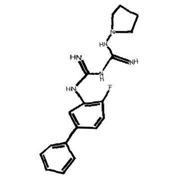 N=C(NC(=N)NN1CCCC1)Nc1cc(-c2ccccc2)ccc1F